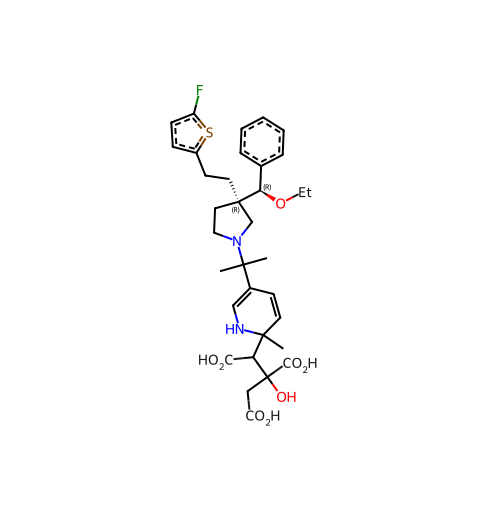 CCO[C@H](c1ccccc1)[C@]1(CCc2ccc(F)s2)CCN(C(C)(C)C2=CNC(C)(C(C(=O)O)C(O)(CC(=O)O)C(=O)O)C=C2)C1